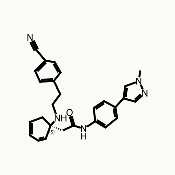 Cn1cc(-c2ccc(NC(=O)C[C@]3(NCCc4ccc(C#N)cc4)C=CC=CC3)cc2)cn1